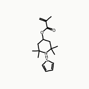 C=C(C)C(=O)OC1CC(C)(C)N([SH]2C=CC=C2)C(C)(C)C1